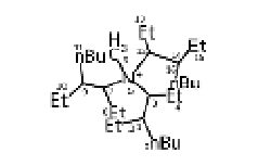 CCCCC(CC)C(CC)[N+](C)(C(CC)C(CC)CCCC)C(CC)C(CC)CCCC